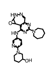 OC1CCCN(c2ccc(Nc3nc(N4CCCCCC4)nc4c3C3OC3NN=C4)cn2)C1